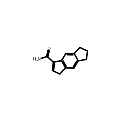 NC(=O)C1=CCc2cc3c(cc21)CCC3